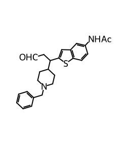 CC(=O)Nc1ccc2sc(C(CC=O)C3CCN(Cc4ccccc4)CC3)cc2c1